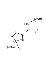 CCC(NNC)C1CCC2(CN2)C1